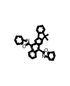 CC1(C)c2ccccc2-c2cc3c(-c4nc5ccccc5o4)c4ccccc4c(-c4nc5ccccc5o4)c3cc21